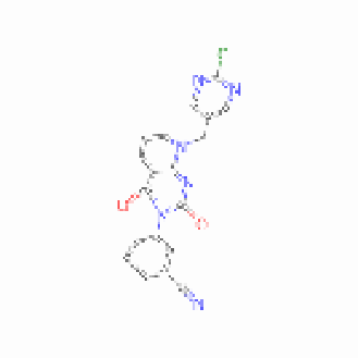 N#Cc1cccc(-n2c(=O)nc3n(Cc4cnc(Cl)nc4)cccc-3c2=O)c1